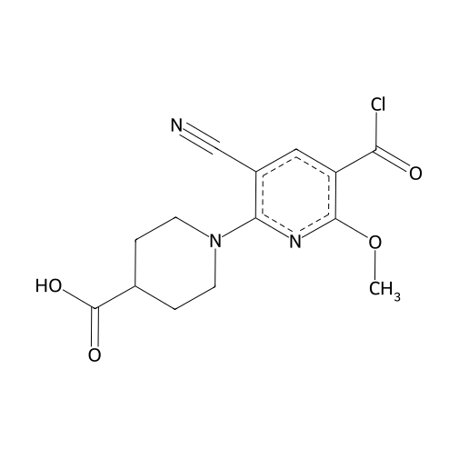 COc1nc(N2CCC(C(=O)O)CC2)c(C#N)cc1C(=O)Cl